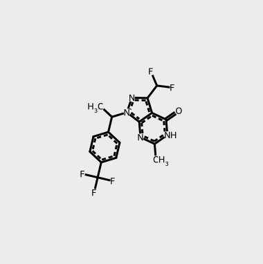 Cc1nc2c(c(C(F)F)nn2C(C)c2ccc(C(F)(F)F)cc2)c(=O)[nH]1